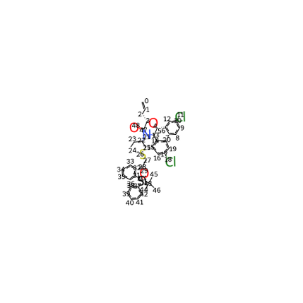 C=CC[C@@H]1O[C@H](c2cccc(Cl)c2)[C@@H](c2ccc(Cl)cc2)N(C(CC)CSCCO[Si](c2ccccc2)(c2ccccc2)C(C)(C)C)C1=O